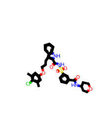 Cc1cc(OCCCc2c(C(=O)NS(=O)(=O)c3cccc(C(=O)NC4CCOCC4)c3)[nH]c3ccccc23)cc(C)c1Cl